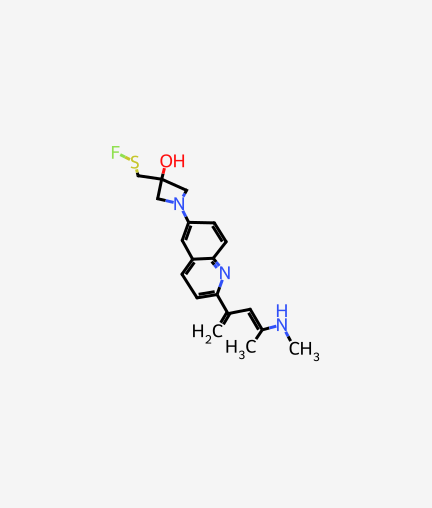 C=C(/C=C(\C)NC)c1ccc2cc(N3CC(O)(CSF)C3)ccc2n1